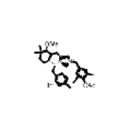 CO[C@H]1C(Cn2c[n+](Cc3cc(C)c(OC(C)=O)c(C)c3)cn2)[C@H](CCc2ccc(C)cc2)CCC1(C)C.[Br-]